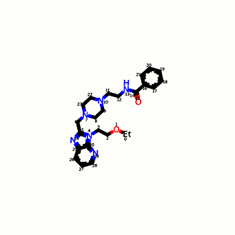 CCOCCn1c(CN2CCN(CCNC(=O)c3ccccc3)CC2)nc2cccnc21